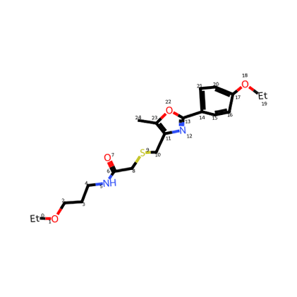 CCOCCCNC(=O)CSCc1nc(-c2ccc(OCC)cc2)oc1C